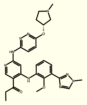 CCC(=O)c1cnc(Nc2ccc(O[C@@H]3CCN(C)C3)nn2)cc1Nc1cccc(-c2ncn(C)n2)c1OC